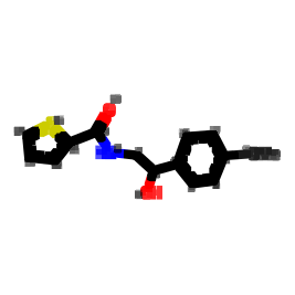 COc1ccc(C(O)CNC(=O)c2cccs2)cc1